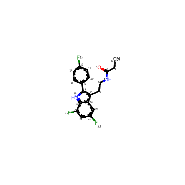 N#CCC(=O)NCCc1c(-c2ccc(F)cc2)[nH]c2c(F)cc(F)cc12